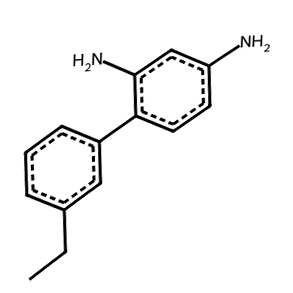 CCc1cccc(-c2ccc(N)cc2N)c1